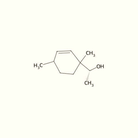 CC1C=CC(C)([C@@H](C)O)CC1